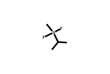 CC(C)[Si](C)(F)F